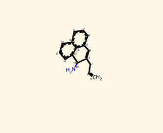 C=CCC1=Cc2cccc3cccc(c23)C1N